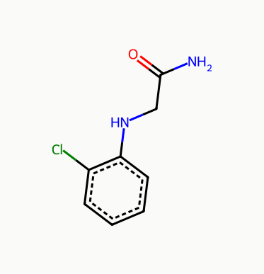 NC(=O)CNc1ccccc1Cl